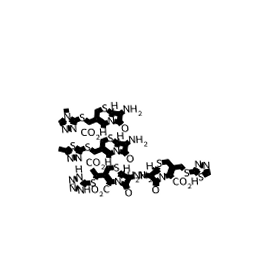 CC(Sc1nnn[nH]1)C1=C(C(=O)O)N2C(=O)C(N)[C@@H]2SC1.Cc1nnc(SCC2=C(C(=O)O)N3C(=O)C(N)[C@@H]3SC2)s1.Cn1cnnc1SCC1=C(C(=O)O)N2C(=O)C(N)[C@@H]2SC1.NC1C(=O)N2C(C(=O)O)=C(CSc3nncs3)CS[C@@H]12